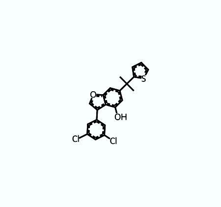 CC(C)(c1cc(O)c2c(-c3cc(Cl)cc(Cl)c3)coc2c1)c1cccs1